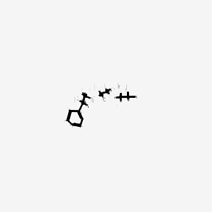 FC(F)(F)C(F)(F)C(F)(F)OC(F)(C(F)(F)F)C(F)(F)OC(F)(C(F)(F)F)C(F)(F)c1c[c]ccc1